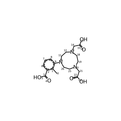 Cc1c(C(=O)O)cccc1N1CCN(CC(=O)O)CCN(CC(=O)O)CC1